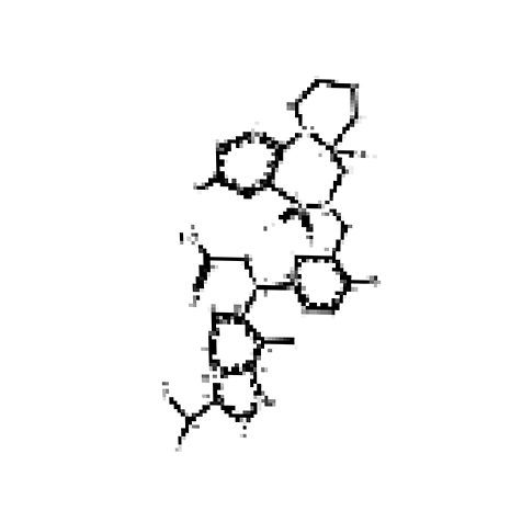 Cc1cnc2c(c1)S(=O)(=O)N(Cc1cc([C@H](CC(=O)O)c3ccn4c(C(F)F)nnc4c3C)ccc1C)C[C@H]1CCCCN21